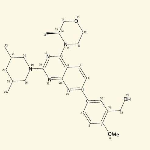 COc1ccc(-c2ccc3c(N4CCOC[C@@H]4C)nc(N4CC(C)CC(C)C4)nc3n2)cc1CO